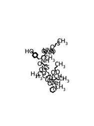 CCCC(=O)OCN(C(=O)[C@@H](NC(=O)[C@H]1CCCCN1C)[C@H](C)CC)[C@H](C[C@@H](OC(C)=O)c1nc(C(=O)N[C@@H](Cc2ccc(O)cc2)C[C@H](C)C(=O)NNC(=O)OCCSC)cs1)C(C)C